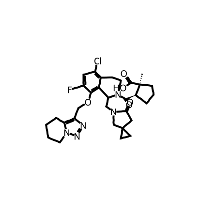 C[C@]1(C(=O)O)CCC[C@H]1C(=O)N1CCc2c(Cl)cc(F)c(OCc3nnn4c3CCCC4)c2C1CN1CC2(CC2)CC1=O